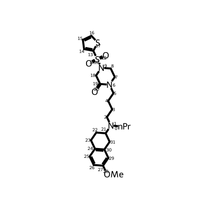 CCCN(CCCCN1CCN(S(=O)(=O)c2cccs2)CC1=O)C1CCc2ccc(OC)cc2C1